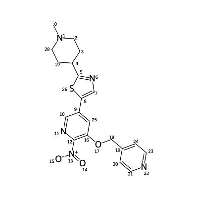 CN1CCC(c2ncc(-c3cnc([N+](=O)[O-])c(OCc4ccncc4)c3)s2)CC1